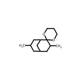 CC1CC2CC(C)C3(OCCCO3)C(C1)C2